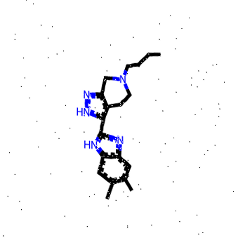 CCCCN1CCc2c(n[nH]c2-c2nc3cc(C)c(C)cc3[nH]2)C1